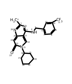 Cc1nc(NCc2cccc(C(F)(F)F)c2)c2cn(C3CCCCC3)c(=O)cc2n1